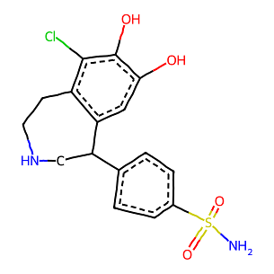 NS(=O)(=O)c1ccc(C2CNCCc3c2cc(O)c(O)c3Cl)cc1